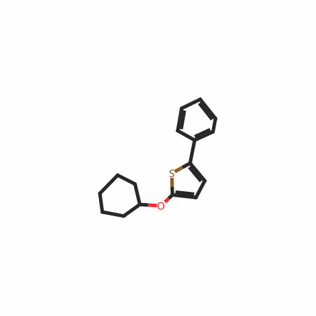 c1ccc(-c2ccc(OC3CCCCC3)s2)cc1